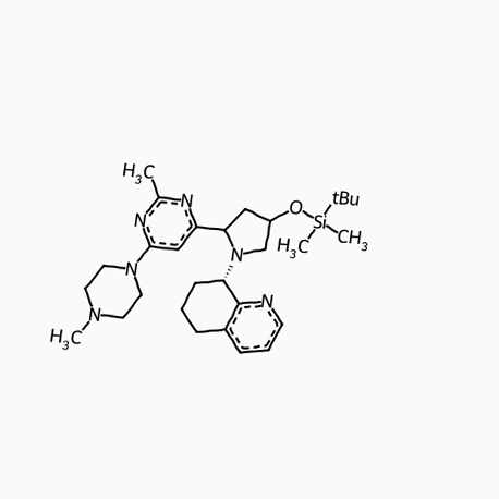 Cc1nc(C2CC(O[Si](C)(C)C(C)(C)C)CN2[C@H]2CCCc3cccnc32)cc(N2CCN(C)CC2)n1